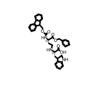 O=C(N[C@@H](CCN[C@@H](CC1CNc2ccccc21)C(=O)O)C(=O)OCc1ccccc1)OCC1c2ccccc2-c2ccccc21